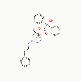 O=C(O[C@H]1C[N+]2(CCCc3ccccc3)CCC1CC2)C(O)(c1ccccc1)c1ccccc1